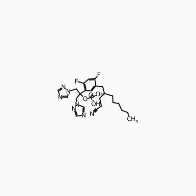 CCCCCCC(CCC#N)Cc1cc(C(Cn2cncn2)(Cn2cncn2)OP(=O)(O)O)c(F)cc1F